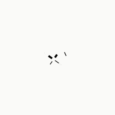 CCCO.NS(=O)(=O)O